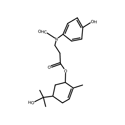 CC1=CCC(C(C)(C)O)CC1OC(=O)CCN(C=O)c1ccc(O)cc1